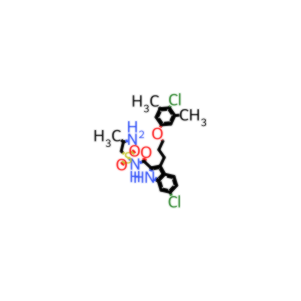 Cc1cc(OCCCc2c(C(=O)NS(=O)(=O)CC(C)N)[nH]c3cc(Cl)ccc23)cc(C)c1Cl